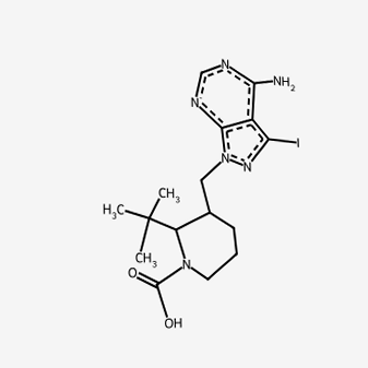 CC(C)(C)C1C(Cn2nc(I)c3c(N)ncnc32)CCCN1C(=O)O